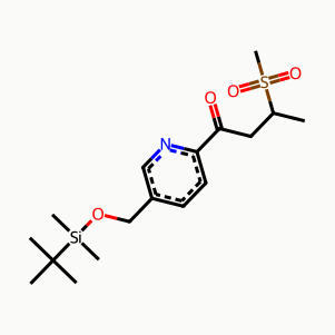 CC(CC(=O)c1ccc(CO[Si](C)(C)C(C)(C)C)cn1)S(C)(=O)=O